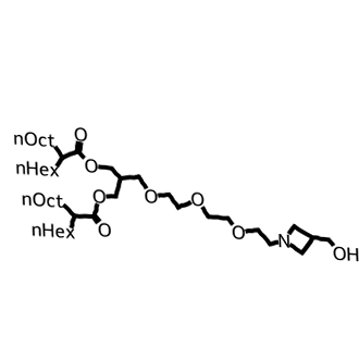 CCCCCCCCC(CCCCCC)C(=O)OCC(COCCOCCOCCN1CC(CO)C1)COC(=O)C(CCCCCC)CCCCCCCC